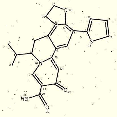 CC(C)C1Cc2c(cc(-c3cccs3)c3c2CCO3)-c2cc(=O)c(C(=O)O)cn21